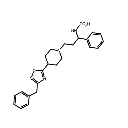 O=C(O)NC(CCN1CCC(c2nc(Cc3ccccc3)no2)CC1)c1ccccc1